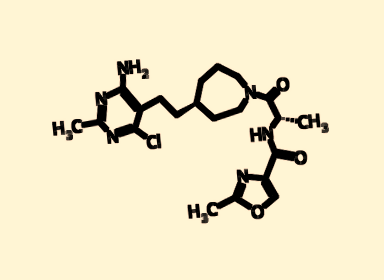 Cc1nc(N)c(CC[C@H]2CCCN(C(=O)[C@H](C)NC(=O)c3coc(C)n3)CC2)c(Cl)n1